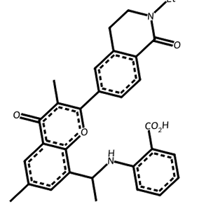 CCN1CCc2cc(-c3oc4c(C(C)Nc5ccccc5C(=O)O)cc(C)cc4c(=O)c3C)ccc2C1=O